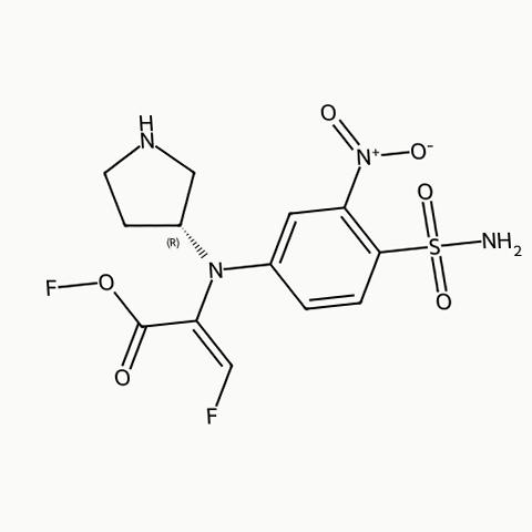 NS(=O)(=O)c1ccc(N(C(=CF)C(=O)OF)[C@@H]2CCNC2)cc1[N+](=O)[O-]